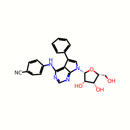 N#Cc1ccc(Nc2ncnc3c2c(-c2ccccc2)cn3[C@@H]2O[C@H](CO)[C@H](O)[C@@H]2O)cc1